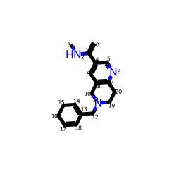 C=C(NC)c1cnc2c(c1)CN(CC1=CCCC=C1)CC2